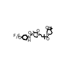 C[C@H]1C(=O)N(CCC(C)(C)C(=O)N2CCC3(CC3)[C@H](O)C2)CCN1C(=O)Nc1ccc(OC(F)(F)F)cc1